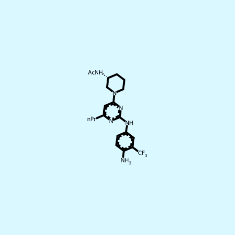 CCCc1cc(N2CCC[C@@H](NC(C)=O)C2)nc(Nc2ccc(N)c(C(F)(F)F)c2)n1